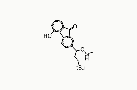 C[SiH](C)OC(CCC(C)(C)C)c1ccc2c(c1)C(=O)c1cccc(O)c1-2